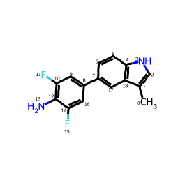 Cc1c[nH]c2ccc(-c3cc(F)c(N)c(F)c3)cc12